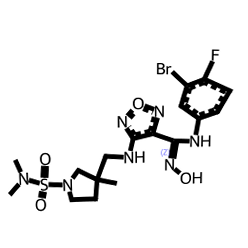 CN(C)S(=O)(=O)N1CCC(C)(CNc2nonc2/C(=N/O)Nc2ccc(F)c(Br)c2)C1